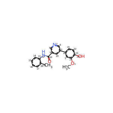 COc1cc(-c2cncc(C(=O)Nc3ccccc3C)c2)ccc1O